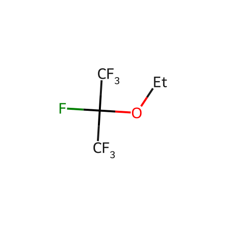 [CH2]COC(F)(C(F)(F)F)C(F)(F)F